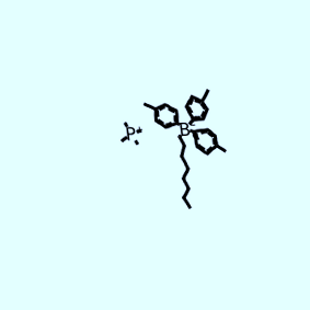 CCCCCCCC[B-](c1ccc(C)cc1)(c1ccc(C)cc1)c1ccc(C)cc1.C[P+](C)(C)C